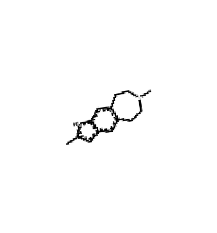 Cc1cc2cc3c(cc2[nH]1)CCN(C)CC3